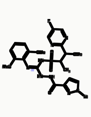 CCn1ccc(C(=O)NN/C(=N/c2c(OC)cccc2OC)NS(=O)(=O)C(C)C(OC)c2ncc(F)cn2)n1